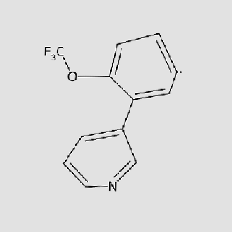 FC(F)(F)Oc1cc[c]cc1-c1cccnc1